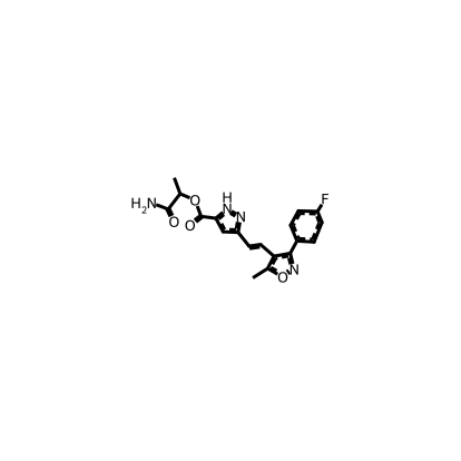 Cc1onc(-c2ccc(F)cc2)c1C=Cc1cc(C(=O)OC(C)C(N)=O)[nH]n1